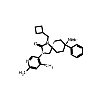 CN[C@]1(c2ccccc2)CC[C@]2(CC1)CN(c1cnc(C)cc1C)C(=O)N2CC1CCC1